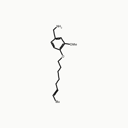 CCC(C)C=CCCCCCOc1ccc(CN)cc1OC